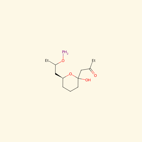 CCC(=O)CC1(O)CCC[C@@H](CC(CC)OP)O1